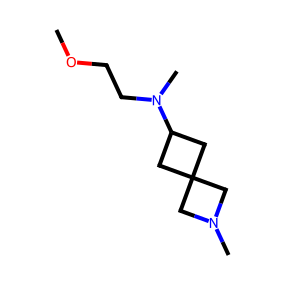 COCCN(C)C1CC2(C1)CN(C)C2